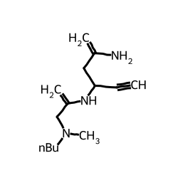 C#CC(CC(=C)N)NC(=C)CN(C)CCCC